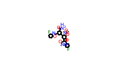 CNC(=O)c1c(-c2ccc(F)cc2)oc2cc(N(C)S(C)(=O)=O)c(-c3cc(C(N)=O)cc(-c4nc5c(F)cccc5o4)c3)cc12